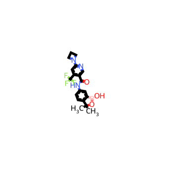 CC1(C)OB(O)c2cc(NC(=O)c3cnc(N4CCC4)cc3C(F)(F)F)ccc21